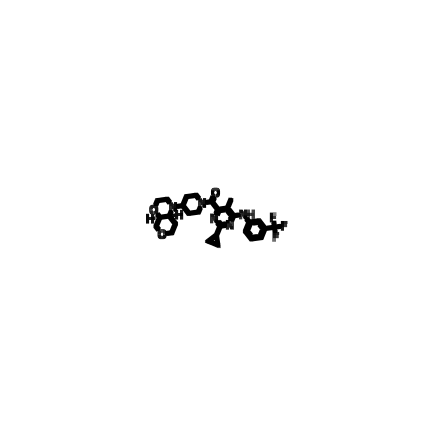 Cc1c(Nc2cccc(C(F)(F)F)c2)nc(C2CC2)nc1C(=O)N1CCC(N2CCO[C@@H]3COCC[C@@H]32)CC1